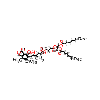 CCCCCCCCCCCCCCCC(=O)OCC(COC(=O)CCCCCCCCCCCCCCC)OC(=O)CCCOC(=O)CC/C(C)=C/Cc1c(O)c2c(c(C)c1OC)COC2=O